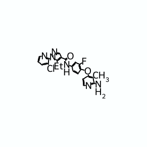 CCc1c(C(=O)Nc2ccc(Oc3ccnc(N)c3C)c(F)c2)cnn1-c1ncccc1Cl